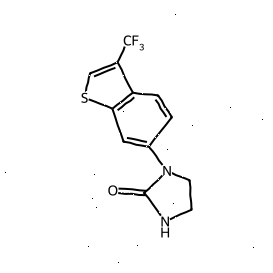 O=C1NCCN1c1ccc2c(C(F)(F)F)csc2c1